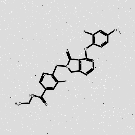 CCNC(=O)c1ccc(CN2Cc3ccnc(Oc4ccc(C)cc4F)c3C2=O)c(F)c1